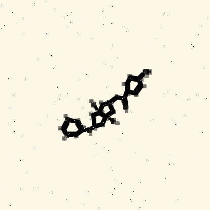 O=C(CN1C[C@H]2C[C@@H](Oc3cncnc3)C[C@H]2C1)c1ccc(O)cc1